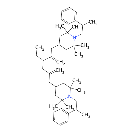 C=C(CC1CC(C)(C)N(CC(C)c2ccccc2)C(C)(C)C1)CC(CC)C(=C)CC1CC(C)(C)N(CC(C)c2ccccc2)C(C)(C)C1